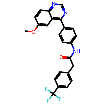 COc1ccc2ncnc(-c3ccc(NC(=O)Cc4ccc(C(F)(F)F)cc4)cc3)c2c1